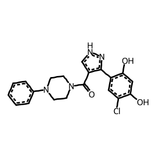 O=C(c1c[nH]nc1-c1cc(Cl)c(O)cc1O)N1CCN(c2ccccc2)CC1